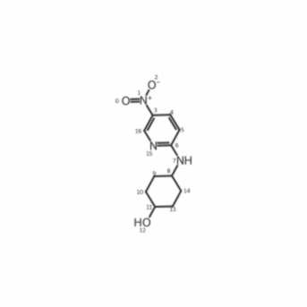 O=[N+]([O-])c1ccc(NC2CCC(O)CC2)nc1